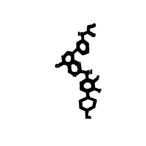 C=CC(=O)Nc1cccc(-n2cnc(=O)c3cnc(Nc4ccc(N5CCN(C(C)=O)CC5)c(F)c4F)nc32)c1